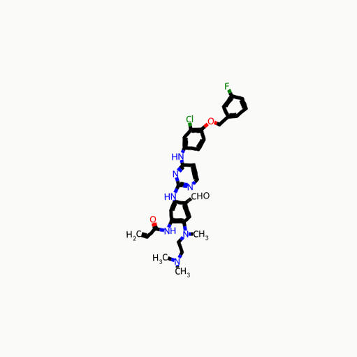 C=CC(=O)Nc1cc(Nc2nccc(Nc3ccc(OCc4cccc(F)c4)c(Cl)c3)n2)c(C=O)cc1N(C)CCN(C)C